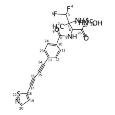 CC(=O)NC(C)(C(F)F)C(NC(=O)c1ccc(C#CC#Cc2ccns2)cc1)C(=O)NO